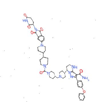 NC(=O)c1c(-c2ccc(Oc3ccccc3)cc2)nn2c1NCCC2C1CCN(CC2CCN(C(=O)N3CCC(C4CCN(c5ccc6c(c5)C(=O)N(C5CCC(=O)NC5=O)C6=O)CC4)CC3)CC2)CC1